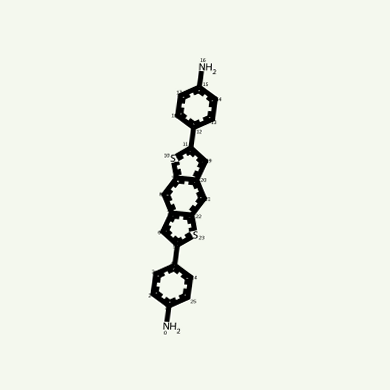 Nc1ccc(-c2cc3cc4sc(-c5ccc(N)cc5)cc4cc3s2)cc1